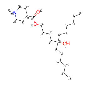 [CH2]CCCCCC(O)(CCCCC[CH2])CCCCOC(=O)C1CCN(C)CC1